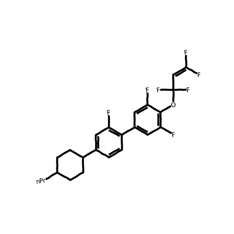 CCCC1CCC(c2ccc(-c3cc(F)c(OC(F)(F)C=C(F)F)c(F)c3)c(F)c2)CC1